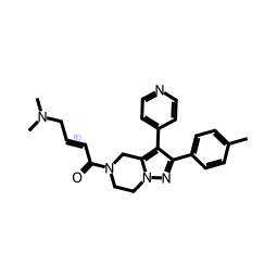 Cc1ccc(-c2nn3c(c2-c2ccncc2)CN(C(=O)/C=C/CN(C)C)CC3)cc1